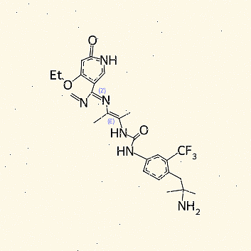 C=N/C(=N\C(C)=C(/C)NC(=O)Nc1ccc(CC(C)(C)N)c(C(F)(F)F)c1)c1c[nH]c(=O)cc1OCC